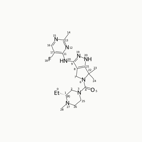 CC[C@@H]1CN(C(=O)N2Cc3c(Nc4nc(C)ncc4F)n[nH]c3C2(C)C)CCN1C